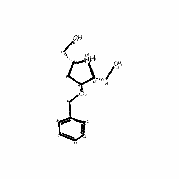 OC[C@H]1C[C@H](OCc2ccccc2)[C@@H](CO)N1